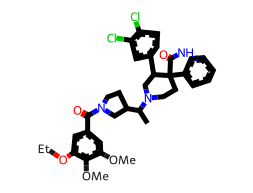 CCOc1cc(C(=O)N2CCC(C(C)N3CCC(C(N)=O)(c4ccccc4)C(c4ccc(Cl)c(Cl)c4)C3)C2)cc(OC)c1OC